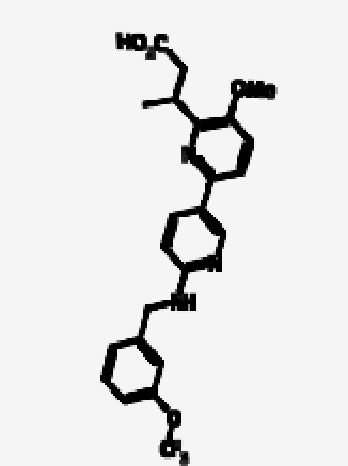 COc1ccc(-c2ccc(NCc3cccc(OC(F)(F)F)c3)nc2)nc1C(C)CC(=O)O